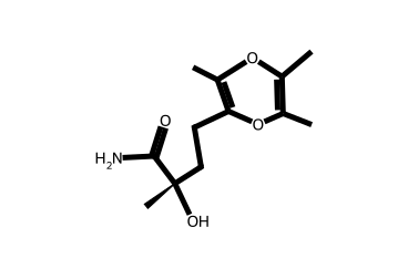 CC1=C(C)OC(CC[C@](C)(O)C(N)=O)=C(C)O1